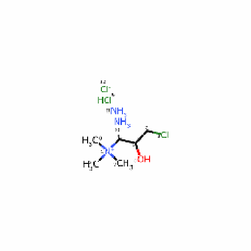 C[N+](C)(C)CC(O)CCl.Cl.N.N.[Cl-]